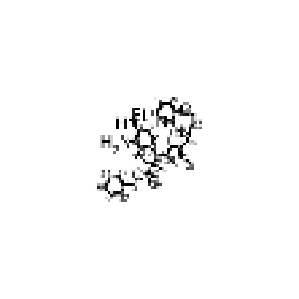 CCNc1ccc(C(c2cc(CN3CCOc4cccnc4C3)c(C)s2)C(C)(C)C(=O)OCc2ccccc2)c(C)c1N